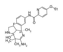 CCOc1ccc(C(=O)Nc2ccc(F)c([C@@]3(C)N=C(N)C(C)(C)S4(O)NCCC34)c2)nc1